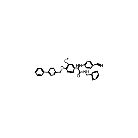 COc1cc(C(Nc2ccc(C#N)cc2)C(=O)NCc2ccccc2)ccc1OCc1ccc(-c2ccccc2)cc1